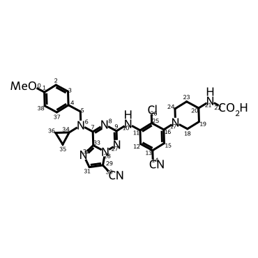 COc1ccc(CN(c2nc(Nc3cc(C#N)cc(N4CCC(NC(=O)O)CC4)c3Cl)nn3c(C#N)cnc23)C2CC2)cc1